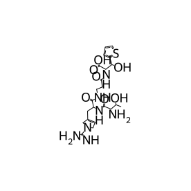 CC(O)C(N)C(=O)NC(CC1=CCN(C(=N)N)C1)C(=O)NCCC(=O)NC(C(=O)O)C(O)c1cccs1